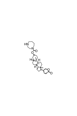 C[C@]12CC[C@H](OC(=O)N3CCCCNCC3)C[C@H]1CC[C@H]1C3=CC[C@H](c4ccc(=O)oc4)[C@@]3(C)CC[C@@H]12